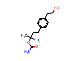 CC(C)(CCc1ccc(CCO)cc1)OC(N)=O